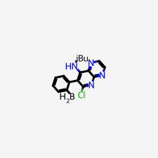 Bc1ccccc1-c1c(Cl)nc2nccnc2c1NC(C)CC